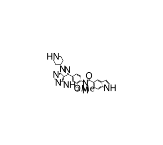 COc1cc(-c2nn(C3CCNCC3)c3ncnc(N)c23)ccc1NC(=O)c1ccc2[nH]ccc2c1